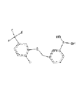 OB(O)c1cccc(COc2cc(C(F)(F)F)ccc2Cl)c1